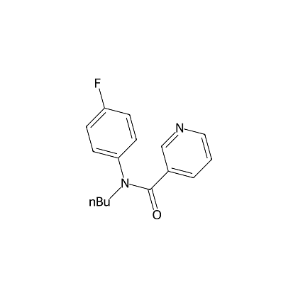 [CH2]CCCN(C(=O)c1cccnc1)c1ccc(F)cc1